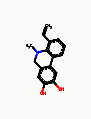 C=Cc1cccc2c1N(C)Cc1cc(O)c(O)cc1-2